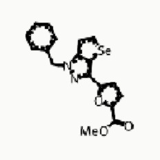 COC(=O)c1ccc(-c2nn(Cc3ccccc3)c3cc[se]c23)o1